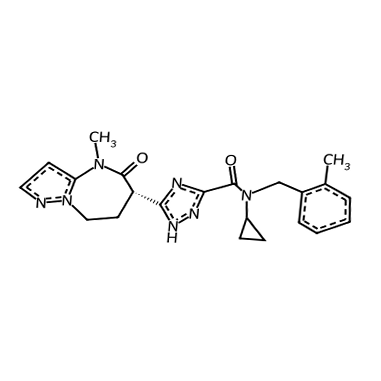 Cc1ccccc1CN(C(=O)c1n[nH]c([C@@H]2CCn3nccc3N(C)C2=O)n1)C1CC1